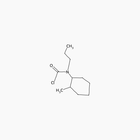 CCCN(C(=O)Cl)C1CCCCC1C